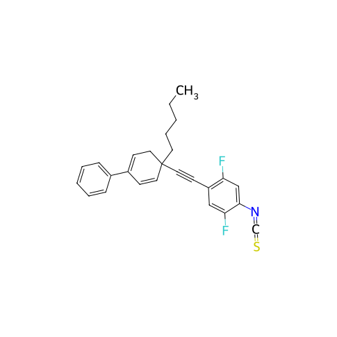 CCCCCC1(C#Cc2cc(F)c(N=C=S)cc2F)C=CC(c2ccccc2)=CC1